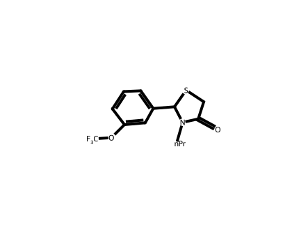 CCCN1C(=O)CSC1c1cccc(OC(F)(F)F)c1